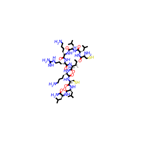 CC[C@H](C)[C@H](NC(=O)[C@H](CCCNC(=N)N)NC(=O)[C@H](CCCCN)NC(=O)[C@H](CC(C)C)NC(=O)[C@H](CC(C)C)NC(=O)[C@@H](N)CS)C(=O)N[C@@H](CCCCN)C(=O)N[C@@H](CS)C(=O)N[C@@H](CC(C)C)C(=O)N[C@@H](CC(C)C)C(N)=O